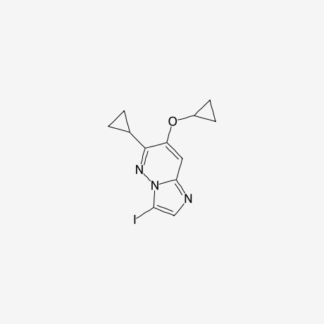 Ic1cnc2cc(OC3CC3)c(C3CC3)nn12